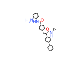 Nc1ccccc1NC(=O)c1ccc(/C=C(\C(=O)NC2CC2)c2ccc(-c3ccccc3)cc2)cc1